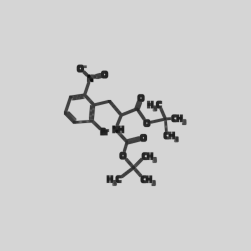 CC(C)(C)OC(=O)NC(Cc1c(Br)cccc1[N+](=O)[O-])C(=O)OC(C)(C)C